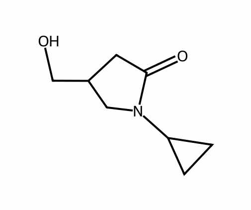 O=C1CC(CO)CN1C1CC1